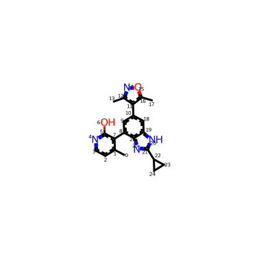 Cc1ccnc(O)c1-c1cc(-c2c(C)noc2C)cc2[nH]c(C3CC3)nc12